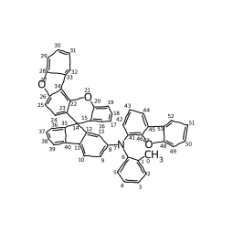 Cc1ccccc1N(c1ccc2c(c1)C1(c3ccccc3Oc3c1ccc1oc4ccccc4c31)c1ccccc1-2)c1cccc2c1oc1ccccc12